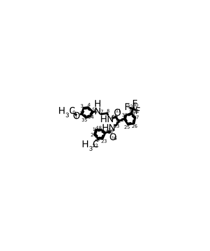 COc1ccc(NCCNC(=O)C(CNC(=O)c2cccc(C)c2)c2cccc(C(F)(F)F)c2)cc1